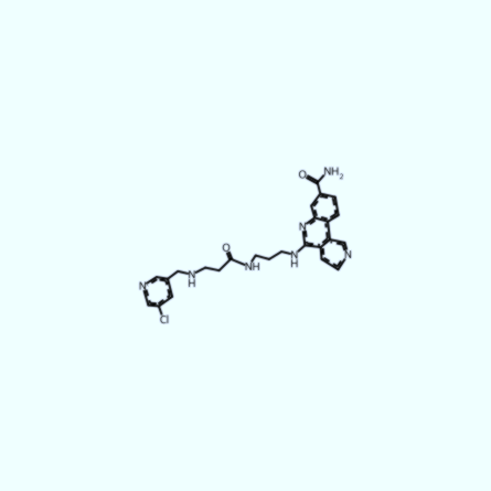 NC(=O)c1ccc2c(c1)nc(NCCCNC(=O)CCNCc1cncc(Cl)c1)c1ccncc12